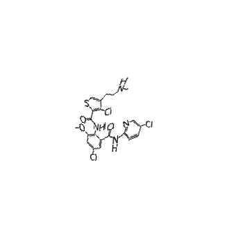 CNCCc1csc(C(=O)Nc2c(OC)cc(Cl)cc2C(=O)Nc2ccc(Cl)cn2)c1Cl